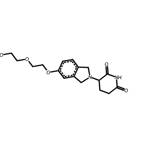 O=C1CCC(N2Cc3ccc(OCCOCCO)cc3C2)C(=O)N1